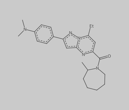 CCc1cc(C(=O)N2CCCCCC2C)nc2cc(-c3ccc(N(C)C)cc3)nn12